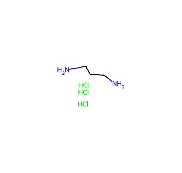 Cl.Cl.Cl.NCCCN